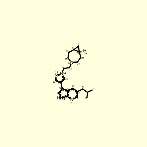 CC(C)Cc1cnc2[nH]cc(-c3cnn(CCN4CCC5C[C@H]5CC4)c3)c2c1